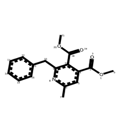 COC(=O)c1[c]c(C)nc(Cc2ccccc2)c1C(=O)OC